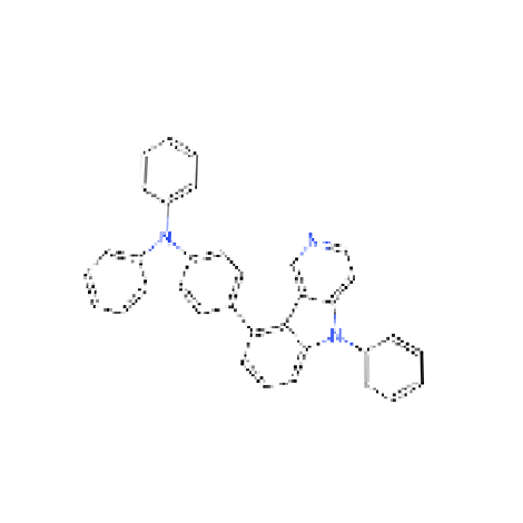 c1ccc(-n2c3ccccc3c3cc(-c4cccc5c4c4cnccc4n5-c4ccccc4)ccc32)cc1